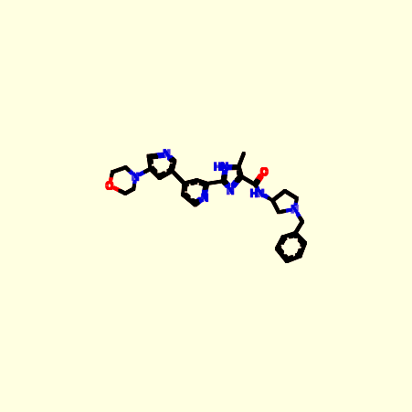 Cc1[nH]c(-c2cc(-c3cncc(N4CCOCC4)c3)ccn2)nc1C(=O)N[C@H]1CCN(Cc2ccccc2)C1